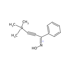 C[Si](C)(C)C#C/C(=N\O)c1ccccc1